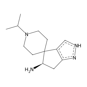 CC(C)N1CCC2(CC1)c1c[nH]nc1C[C@H]2N